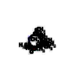 COc1cc2cc(c1Cl)N(C)C(=O)C[C@H](OC(=O)[C@H](C)N(C)C(C)C)C1(C)OC1[C@H](C)[C@@H]1C[C@@](O)(NC(=O)O1)[C@H](OC)/C=C/C=C(\C)C2